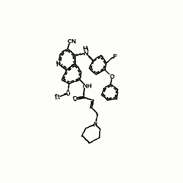 CCOc1cc2ncc(C#N)c(Nc3ccc(Oc4ccccc4)c(F)c3)c2cc1NC(=O)/C=C/CN1CCCCC1